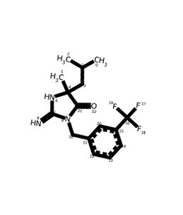 CC(C)CC1(C)NC(=N)N(Cc2cccc(C(F)(F)F)c2)C1=O